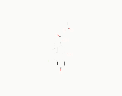 CCC(=O)OCC(=O)[C@@]1(O)[C@H](C)C[C@H]2[C@@H]3C[C@H](F)C4=C(F)C(=O)C=C[C@]4(C)[C@@]3(F)[C@@H](O)C[C@@]21C